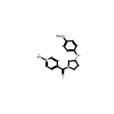 COc1ccc(O[C@@H]2CCN(C(=O)c3cc[n+](O)cc3)C2)cc1